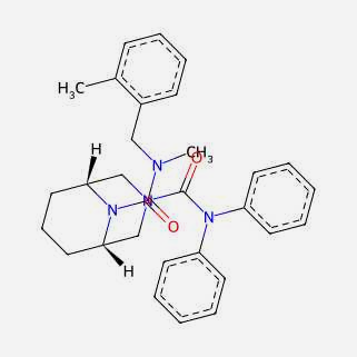 Cc1ccccc1CN(C)C(=O)N1[C@@H]2CCC[C@H]1CN(C(=O)N(c1ccccc1)c1ccccc1)C2